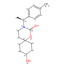 C[C@@H](c1ccc(C(F)(F)F)cc1)N1CCC2(CCC(O)CC2)OC1=O